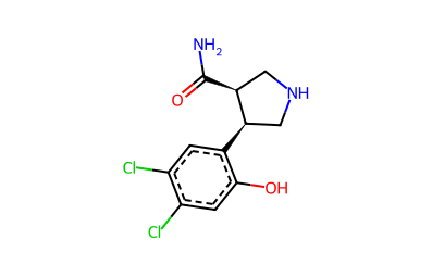 NC(=O)[C@H]1CNC[C@H]1c1cc(Cl)c(Cl)cc1O